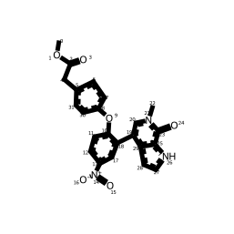 COC(=O)Cc1ccc(Oc2ccc([N+](=O)[O-])cc2-c2cn(C)c(=O)c3[nH]ccc23)cc1